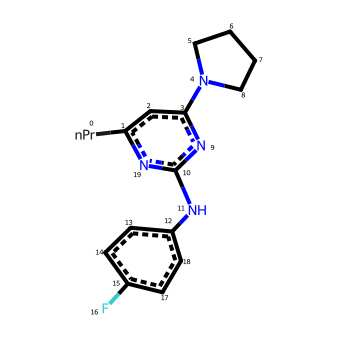 CCCc1cc(N2[CH]CCC2)nc(Nc2ccc(F)cc2)n1